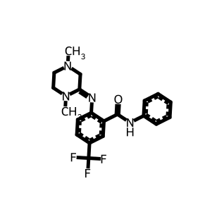 CN1CCN(C)/C(=N\c2ccc(C(F)(F)F)cc2C(=O)Nc2ccccc2)C1